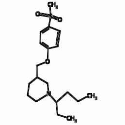 CCCC(CC)N1CCCC(COc2ccc(S(C)(=O)=O)cc2)C1